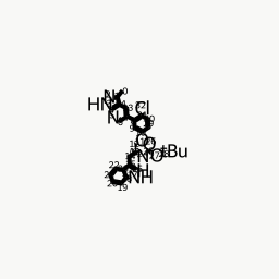 Cc1n[nH]c2ncc(-c3cc(OC[C@H](CC4=CNC5C=CC=CC45)NC(=O)OC(C)(C)C)ccc3Cl)cc12